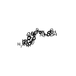 COc1cccc(Nc2c(C(N)=O)cnc3c(C)cc(S(=O)(=O)c4cccc(C(=O)N5CCN(C(=O)c6cccc(CC(C)NCC(O)c7ccc(O)c8[nH]c(=O)ccc78)c6)CC5)c4)cc23)c1